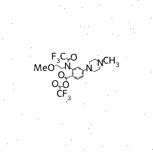 COCCN(C(=O)C(F)(F)F)c1cc(N2CCN(C)CC2)ccc1C(=O)OC(=O)C(F)(F)F